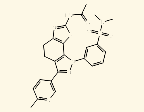 CC(=O)Nc1nc2c(s1)-c1c(c(-c3ccc(C)nc3)nn1-c1cccc(S(=O)(=O)N(C)C)c1)CC2